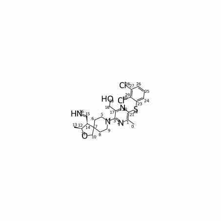 Cc1nc(N2CCC3(CC2)CO[C@@H](C)[C@H]3C=N)c(CO)nc1Sc1cccc(Cl)c1Cl